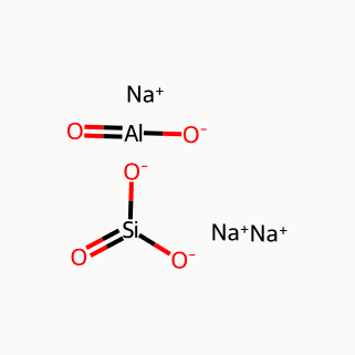 O=[Si]([O-])[O-].[Na+].[Na+].[Na+].[O]=[Al][O-]